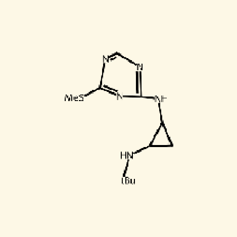 CSc1ncnc(NC2CC2NC(C)(C)C)n1